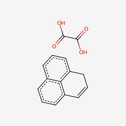 C1=Cc2cccc3cccc(c23)C1.O=C(O)C(=O)O